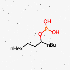 CCCCCCCCC(CCCC)OP(O)O